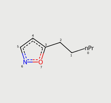 CCCCCc1[c]cno1